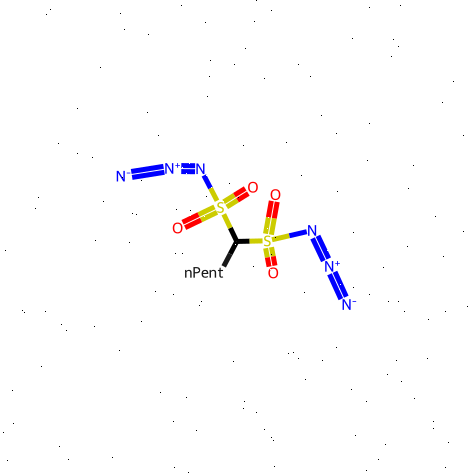 CCCCCC(S(=O)(=O)N=[N+]=[N-])S(=O)(=O)N=[N+]=[N-]